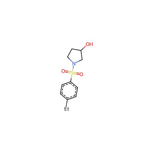 CCc1ccc(S(=O)(=O)N2CCC(O)C2)cc1